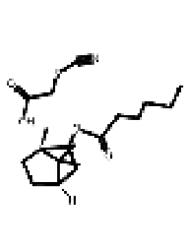 CCCCCC(=O)OC1C[C@H]2CC[C@@]1(C)C2(C)C.N#CSCC(=O)O